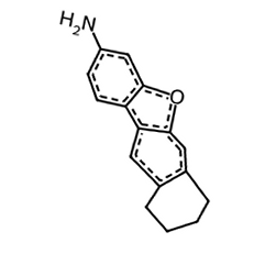 Nc1ccc2c(c1)oc1cc3c(cc12)CCCC3